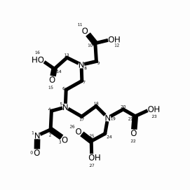 O=NC(=O)CN(CCN(CC(=O)O)CC(=O)O)CCN(CC(=O)O)CC(=O)O